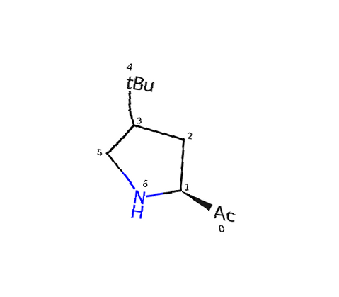 CC(=O)[C@@H]1CC(C(C)(C)C)CN1